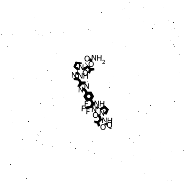 COC(=O)N[C@H](C(=O)N1CCC[C@H]1c1nc(C(F)(F)F)c(-c2ccc(-c3ncc(-c4cnc([C@@H]5CCCN5C(=O)[C@@](C)(OC(N)=O)C(C)C)[nH]4)cn3)cc2)[nH]1)C(C)C